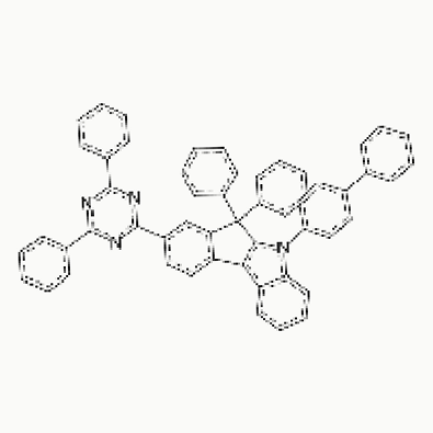 c1ccc(-c2ccc(-n3c4c(c5ccccc53)-c3ccc(-c5nc(-c6ccccc6)nc(-c6ccccc6)n5)cc3C4(c3ccccc3)c3ccccc3)cc2)cc1